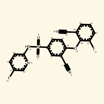 N#Cc1cc(S(=O)(=O)Nc2ccc(F)cn2)ccc1Oc1c(F)cccc1C#N